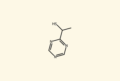 CC(S)c1ncncn1